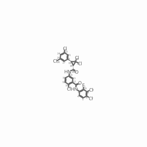 O=C(Nc1ccc(Cl)c(Cl)c1F)c1cc(NC(=O)[C@@H]2[C@@H](c3cc(Cl)cc(Cl)c3)C2(Cl)Cl)ccc1Cl